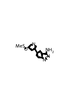 CSOc1cncc(-c2ccc3ncnc(N)c3c2)c1